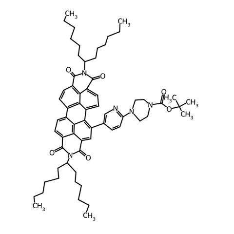 CCCCCCC(CCCCCC)N1C(=O)c2ccc3c4ccc5c6c(cc(-c7ccc(N8CCN(C(=O)OC(C)(C)C)CC8)nc7)c(c7ccc(c2c37)C1=O)c64)C(=O)N(C(CCCCCC)CCCCCC)C5=O